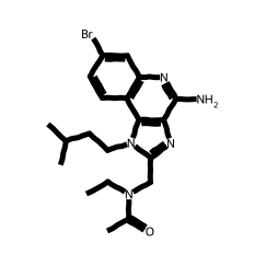 CCN(Cc1nc2c(N)nc3cc(Br)ccc3c2n1CCC(C)C)C(C)=O